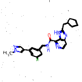 Cn1cc(-c2cc(F)cc(CNC(=O)c3nccc4nc(CC5CCCC5)[nH]c34)c2)cn1